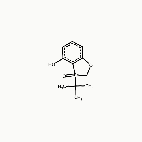 CC(C)(C)[P@]1(=O)COc2cccc(O)c21